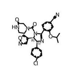 CC(C)Oc1cc(C#N)ccc1C1=N[C@@H](c2ccc(Cl)cc2)[C@@H](c2cnoc2)N1C(=O)N1CCNC(=O)C1